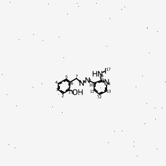 Oc1ccccc1CN=Nc1cccnc1NI